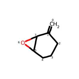 C=C1CCCC2OC12